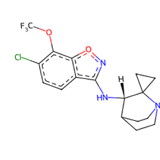 FC(F)(F)Oc1c(Cl)ccc2c(N[C@H]3C4CCN(CC4)C34CC4)noc12